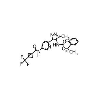 C[C@@H](OC(=O)Nc1c(-c2ccc(NC(=O)C34CC(C(F)(F)F)(C3)C4)cn2)nnn1C)c1ccccc1F